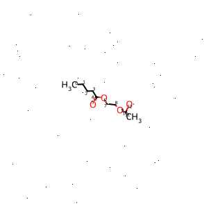 CCCCC(=O)OCCOC(C)[O]